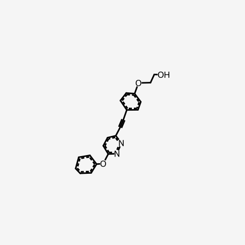 OCCOc1ccc(C#Cc2ccc(Oc3ccccc3)nn2)cc1